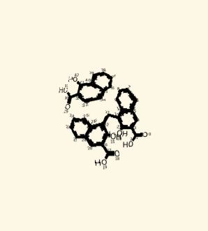 O=C(O)c1cc2ccccc2c(Cc2c(O)c(C(=O)O)cc3ccccc23)c1O.O=C(O)c1ccc2ccccc2c1O